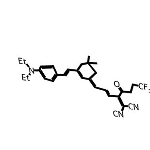 [C-]#[N+]\C(C#N)=C(/C=C/C=C1C=C(/C=C/c2ccc(N(CC)CC)cc2)CC(C)(C)C/1)C(=O)CCC(F)(F)F